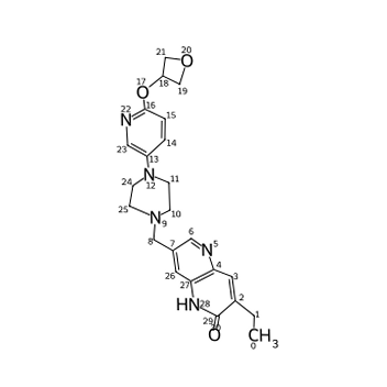 CCc1cc2ncc(CN3CCN(c4ccc(OC5COC5)nc4)CC3)cc2[nH]c1=O